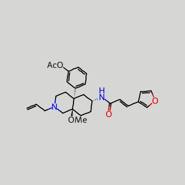 C=CCN1CC[C@@]2(c3cccc(OC(C)=O)c3)C[C@H](NC(=O)C=Cc3ccoc3)CC[C@]2(OC)C1